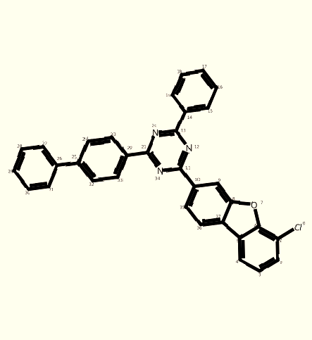 Clc1cccc2c1oc1cc(-c3nc(-c4ccccc4)nc(-c4ccc(-c5ccccc5)cc4)n3)ccc12